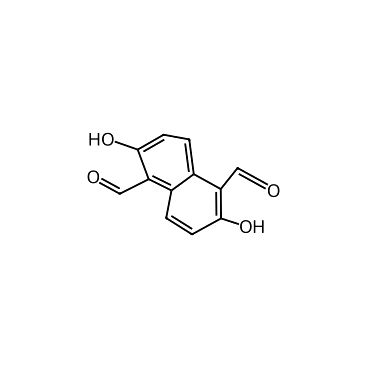 O=Cc1c(O)ccc2c(C=O)c(O)ccc12